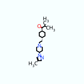 Cc1cnn(C2CCN(CC[C@H]3CC[C@H](C(=O)C(C)C)CC3)CC2)c1